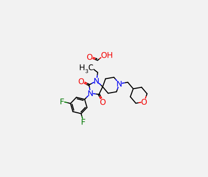 CCN1C(=O)N(c2cc(F)cc(F)c2)C(=O)C12CCN(CC1CCOCC1)CC2.O=CO